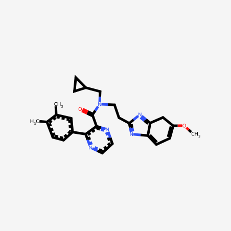 COC1=CC=C2N=C(CCN(CC3CC3)C(=O)c3nccnc3-c3ccc(C)c(C)c3)N=C2C1